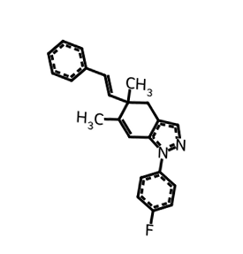 CC1=Cc2c(cnn2-c2ccc(F)cc2)CC1(C)C=Cc1ccccc1